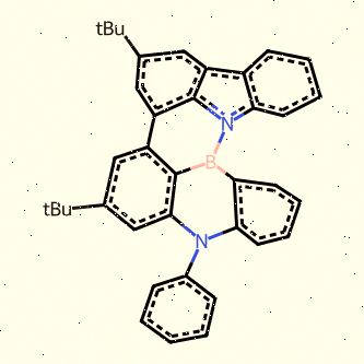 CC(C)(C)c1cc2c3c(c1)N(c1ccccc1)c1ccccc1B3n1c3ccccc3c3cc(C(C)(C)C)cc-2c31